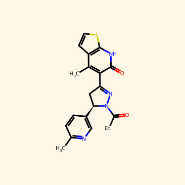 CCC(=O)N1N=C(c2c(C)c3ccsc3[nH]c2=O)C[C@@H]1c1ccc(C)nc1